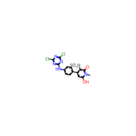 Cn1c(O)cc(-c2ccc(Nc3nc(Cl)nc(Cl)n3)cc2)c(S(=O)(=O)O)c1=O